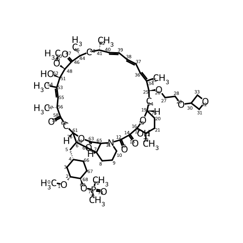 CO[C@@H]1C[C@H](CC2[C@H]3CCCN4C(=O)C(=O)[C@]5(O)O[C@@H](CC[C@H]5C)C[C@H](OCCOC5COC5)/C(C)=C/C=C/C=C/[C@@H](C)C[C@@H](C)C(=O)[C@H](OC)[C@H](O)/C(C)=C/[C@@H](C)C(=O)C[C@@H]2OC(=O)C34)CC[C@H]1OP(C)(C)=O